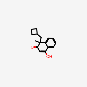 CC1(CC2CCC2)C(=O)C=C(O)c2ccccc21